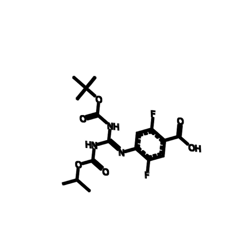 CC(C)OC(=O)NC(=Nc1cc(F)c(C(=O)O)cc1F)NC(=O)OC(C)(C)C